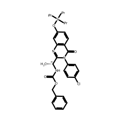 CC(C)[Si](Oc1ccc2c(=O)n(-c3ccc(Cl)cc3)c([C@@H](C)NC(=O)OCc3ccccc3)nc2c1)(C(C)C)C(C)C